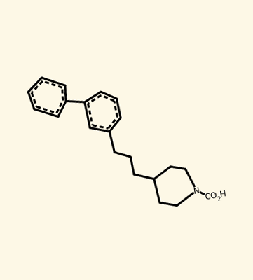 O=C(O)N1CCC(CCCc2cccc(-c3ccccc3)c2)CC1